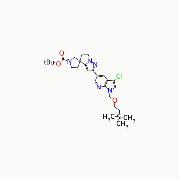 CC(C)(C)OC(=O)N1CCC2(CCn3nc(-c4cnc5c(c4)c(Cl)cn5COCC[Si](C)(C)C)cc32)C1